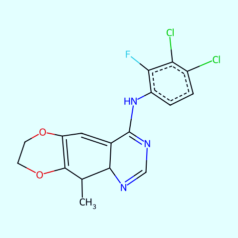 CC1C2=C(C=C3C(Nc4ccc(Cl)c(Cl)c4F)=NC=NC31)OCCO2